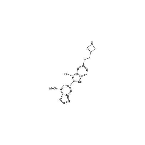 COc1cc(-c2[nH]c3ccc(CCC4CNC4)cc3c2C(C)C)cn2ncnc12